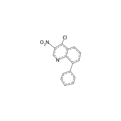 O=[N+]([O-])c1cnc2c(-c3ccccc3)cccc2c1Cl